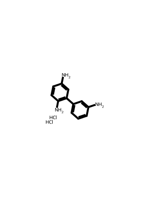 Cl.Cl.Nc1cccc(-c2cc(N)ccc2N)c1